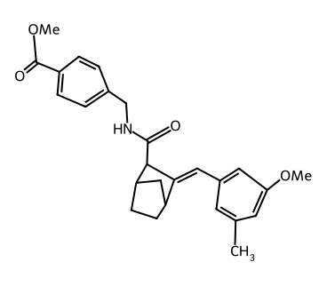 COC(=O)c1ccc(CNC(=O)C2/C(=C/c3cc(C)cc(OC)c3)C3CCC2C3)cc1